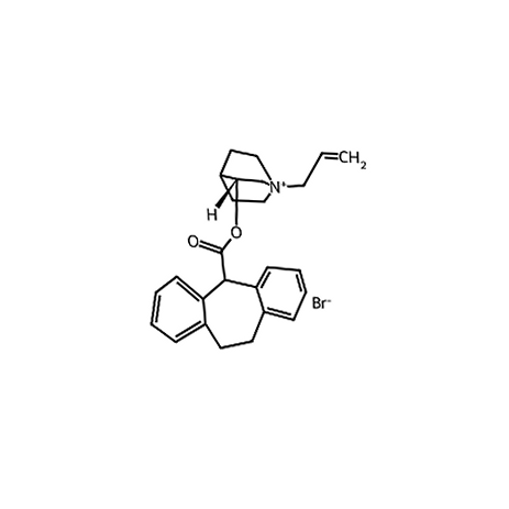 C=CC[N+]12CCC(CC1)[C@@H](OC(=O)C1c3ccccc3CCc3ccccc31)C2.[Br-]